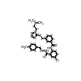 Cc1ccc(/C=N/NC(=O)c2cc(Cl)ccc2NC(=O)c2cccc(CSc3nnnn3CCN(C)C)c2)cc1